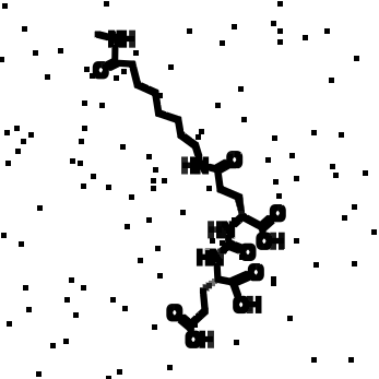 CNC(=O)CCCCCCCNC(=O)CC[C@H](NC(=O)N[C@@H](CCC(=O)O)C(=O)O)C(=O)O